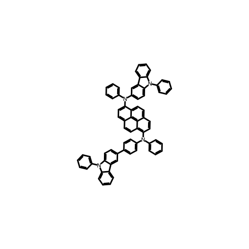 c1ccc(N(c2ccc(-c3ccc4c(c3)c3ccccc3n4-c3ccccc3)cc2)c2ccc3ccc4c(N(c5ccccc5)c5ccc6c(c5)c5ccccc5n6-c5ccccc5)ccc5ccc2c3c54)cc1